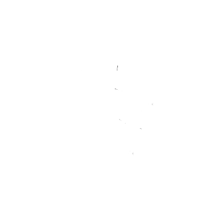 C/C=C1/C(O)C2C3CCC([C@H](C)CCC(=O)OCc4ccccc4)[C@@]3(C)CCC2[C@@]2(C)CC[C@@H](O)C[C@@H]12